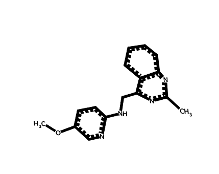 COc1ccc(NCc2nc(C)nc3ccccc23)nc1